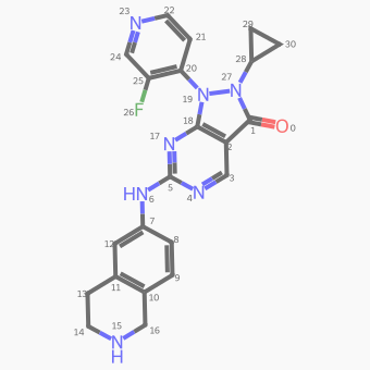 O=c1c2cnc(Nc3ccc4c(c3)CCNC4)nc2n(-c2ccncc2F)n1C1CC1